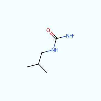 CC(C)CNC([NH])=O